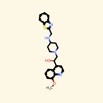 COc1cccc2c([C@@H](O)CN3CCC(NCc4nc5ccccc5s4)CC3)ccnc12